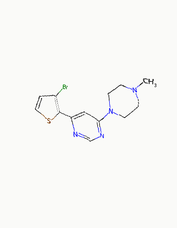 CN1CCN(c2cc(-c3sccc3Br)ncn2)CC1